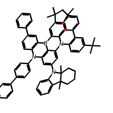 CC(C)(C)c1ccc(N2c3cc4c(cc3B3c5cc(-c6ccccc6)ccc5N(c5ccc(-c6ccccc6)cc5)c5cc(N6c7ccccc7C7(C)CCCCC67C)cc2c53)C(C)(C)CC4(C)C)c(-c2ccccc2)c1